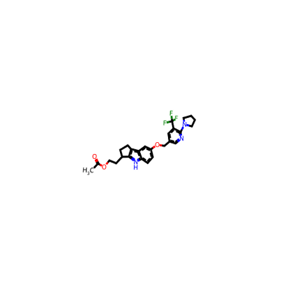 CC(=O)OCCC1CCc2c1[nH]c1ccc(OCc3cnc(N4CCCC4)c(C(F)(F)F)c3)cc21